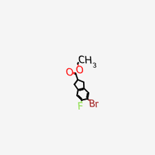 CCOC(=O)C1Cc2cc(F)c(Br)cc2C1